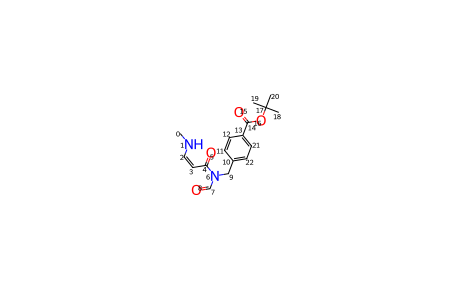 CN/C=C\C(=O)N(C=O)Cc1ccc(C(=O)OC(C)(C)C)cc1